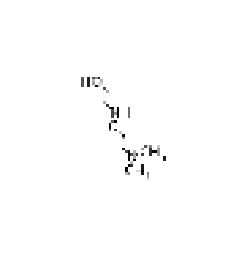 CN(C)CCONCCO